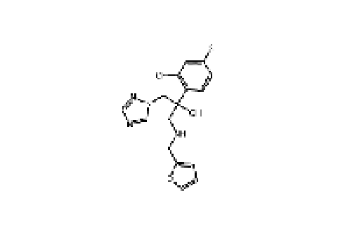 OC(CNCc1ccco1)(Cn1cncn1)c1ccc(Cl)cc1Cl